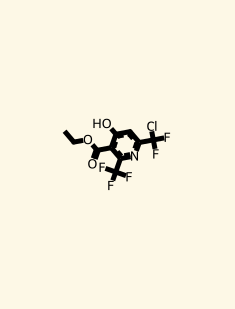 CCOC(=O)c1c(O)cc(C(F)(F)Cl)nc1C(F)(F)F